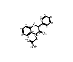 O=C(O)CN1C(=O)C(c2ccccn2)Sc2ccccc21